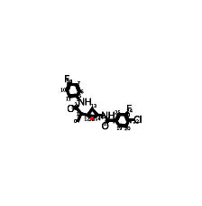 CC(C(=O)Nc1ccc(F)cc1)C12CC(NC(=O)c3ccc(Cl)c(F)c3)(C1)C2